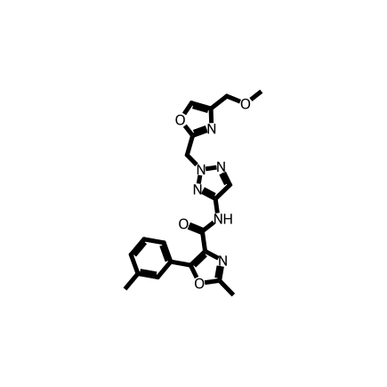 COCc1coc(Cn2ncc(NC(=O)c3nc(C)oc3-c3cccc(C)c3)n2)n1